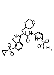 CS(=O)(=O)n1ccc(NC(=O)C(CC2CCOCC2)n2ncc3c(S(=O)(=O)C4CC4)cccc32)n1